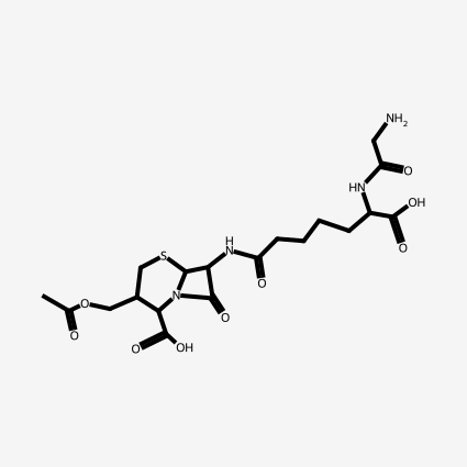 CC(=O)OCC1CSC2C(NC(=O)CCCCC(NC(=O)CN)C(=O)O)C(=O)N2C1C(=O)O